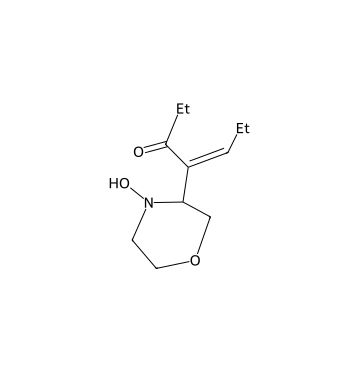 CC/C=C(\C(=O)CC)C1COCCN1O